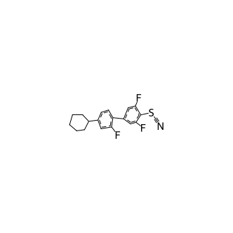 N#CSc1c(F)cc(-c2ccc(C3CCCCC3)cc2F)cc1F